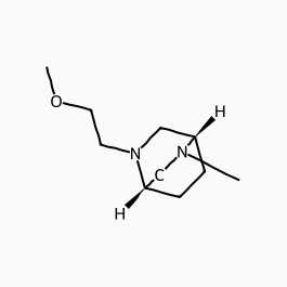 COCCN1C[C@@H]2CC[C@H]1CN2C